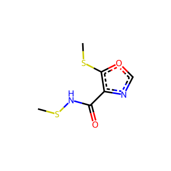 CSNC(=O)c1ncoc1SC